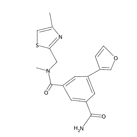 Cc1csc(CN(C)C(=O)c2cc(C(N)=O)cc(-c3ccoc3)c2)n1